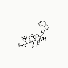 CC(C)[C@H](NC(=O)COc1cccc2ccccc12)C(=O)N[C@@H](CC(=O)O)C(=O)O